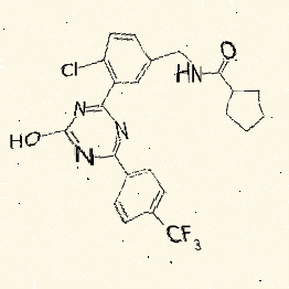 O=C(NCc1ccc(Cl)c(-c2nc(O)nc(-c3ccc(C(F)(F)F)cc3)n2)c1)C1CCCC1